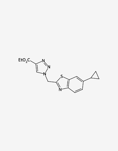 CCOC(=O)c1cn(Cc2nc3ccc(C4CC4)cc3s2)nn1